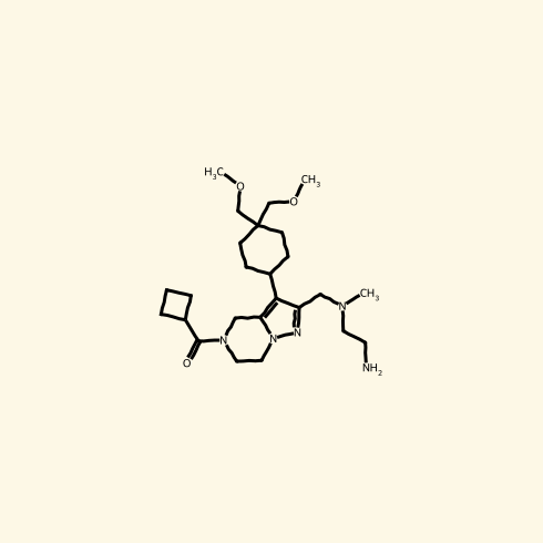 COCC1(COC)CCC(c2c(CN(C)CCN)nn3c2CN(C(=O)C2CCC2)CC3)CC1